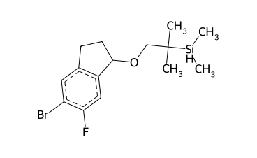 C[SiH](C)C(C)(C)COC1CCc2cc(Br)c(F)cc21